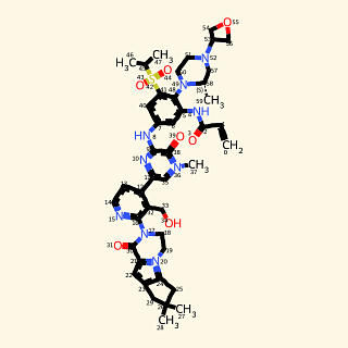 C=CC(=O)Nc1cc(Nc2nc(-c3ccnc(N4CCn5c(cc6c5CC(C)(C)C6)C4=O)c3CO)cn(C)c2=O)cc(S(=O)(=O)C(C)C)c1N1CCN(C2COC2)C[C@@H]1C